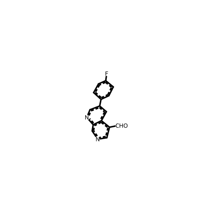 O=Cc1cncc2ncc(-c3ccc(F)cc3)cc12